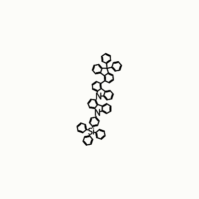 c1ccc(C2(c3ccccc3)c3ccccc3-c3c(-c4cccc5c4c4ccccc4n5-c4cccc5c4c4ccccc4n5-c4ccc([Si](c5ccccc5)(c5ccccc5)c5ccccc5)cc4)cccc32)cc1